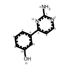 Nc1nccc(-c2cccc(O)c2)n1